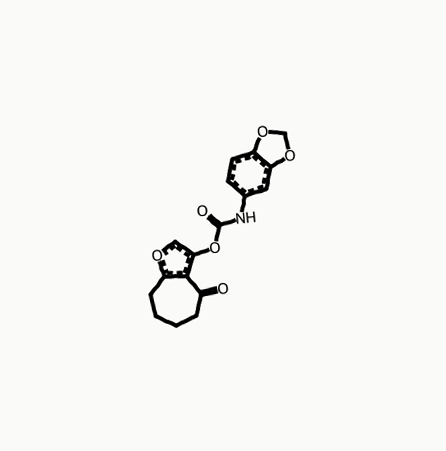 O=C(Nc1ccc2c(c1)OCO2)Oc1coc2c1C(=O)CCCC2